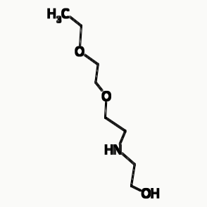 CCOCCOCCNCCO